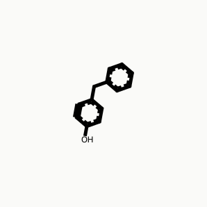 Oc1c#cc(Cc2ccccc2)cc1